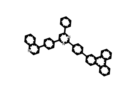 c1ccc(-c2cc(-c3ccc(-c4ccnc5ccccc45)cc3)nc(-c3ccc(-c4ccc5c6ccccc6c6ccccc6c5c4)cc3)n2)cc1